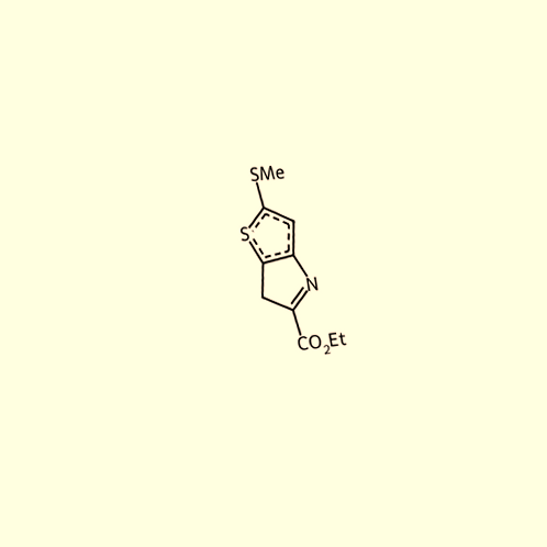 CCOC(=O)C1=Nc2cc(SC)sc2C1